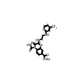 COC(=O)c1ccc2c(c1)nc(NCCNc1cc(C(F)(F)F)ccn1)c1n[nH]c(=O)n12